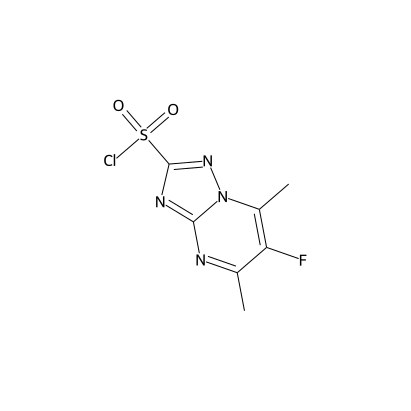 Cc1nc2nc(S(=O)(=O)Cl)nn2c(C)c1F